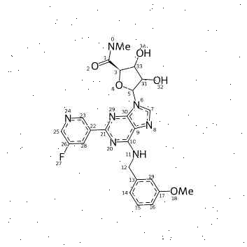 CNC(=O)[C@@H]1OC(n2cnc3c(NCc4cccc(OC)c4)nc(-c4cncc(F)c4)nc32)C(O)C1O